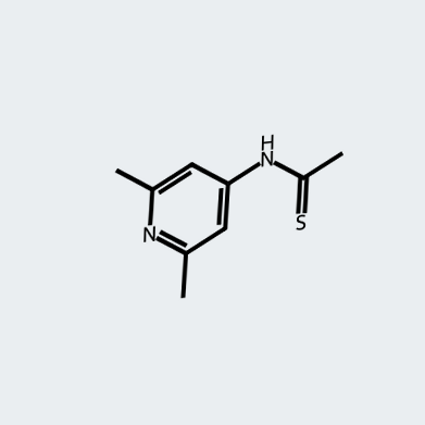 CC(=S)Nc1cc(C)nc(C)c1